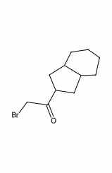 O=C(CBr)C1CC2CCCCC2C1